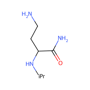 CC(C)NC(CCN)C(N)=O